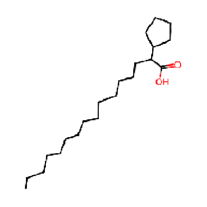 CCCCCCCCCCCCCCC(C(=O)O)C1CCCC1